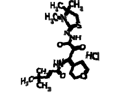 CN1C(=NNC(=O)C(=O)C(NC(=O)/C=C/C(C)(C)C)C2CCOCC2)SCC1(C)C.Cl